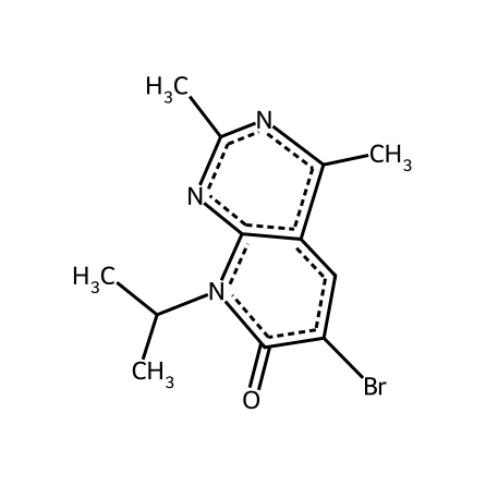 Cc1nc(C)c2cc(Br)c(=O)n(C(C)C)c2n1